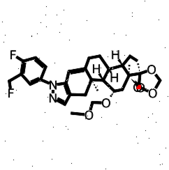 COCO[C@H]1C[C@@]2(C)[C@@H](CC[C@@]23OCOC32COCO2)[C@@H]2CCC3=Cc4c(cnn4-c4ccc(F)c(CF)c4)C[C@]3(C)[C@H]21